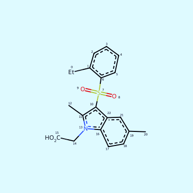 CCc1ccccc1S(=O)(=O)c1c(C)n(CC(=O)O)c2ccc(C)cc12